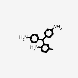 Cc1ccc(N)c(C(c2ccc(N)cc2)c2ccc(N)cc2)c1